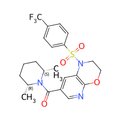 C[C@@H]1CCC[C@H](C)N1C(=O)c1cnc2c(c1)N(S(=O)(=O)c1ccc(C(F)(F)F)cc1)CCO2